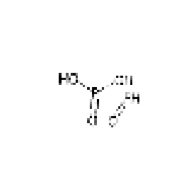 O=P.O=[PH](O)O